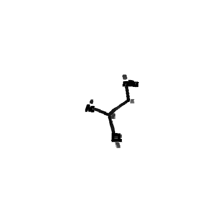 CCCCCC(CC)C(C)=O